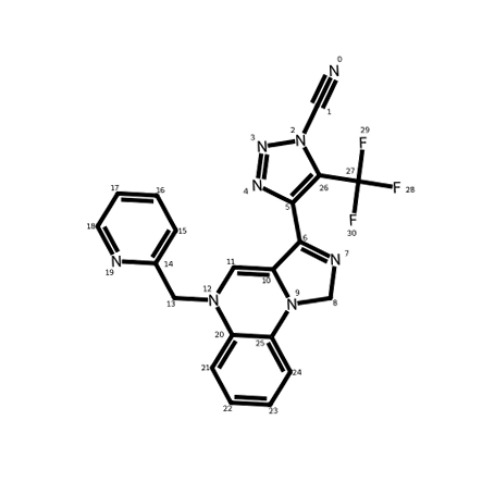 N#Cn1nnc(C2=NCN3C2=CN(Cc2ccccn2)c2ccccc23)c1C(F)(F)F